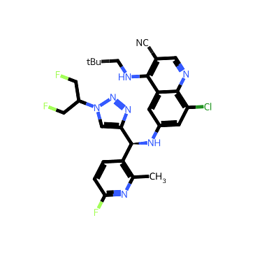 Cc1nc(F)ccc1[C@H](Nc1cc(Cl)c2ncc(C#N)c(NCC(C)(C)C)c2c1)c1cn(C(CF)CF)nn1